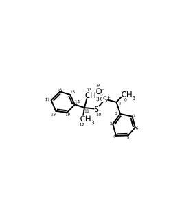 CC(c1ccccc1)[S@@+]([O-])SC(C)(C)c1ccccc1